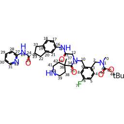 CN(Cc1ccc(F)cc1CN(CC(=O)Nc1ccc2c(c1)C[C@H](C(=O)Nc1ccccn1)C2)C(=O)C1(C)CCNCC1)C(=O)OC(C)(C)C